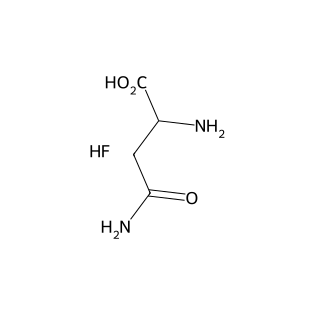 F.NC(=O)CC(N)C(=O)O